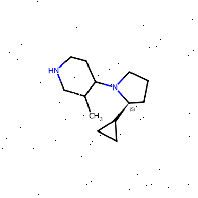 CC1CNCCC1N1CCC[C@H]1C1CC1